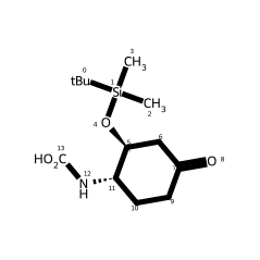 CC(C)(C)[Si](C)(C)O[C@H]1CC(=O)CC[C@@H]1NC(=O)O